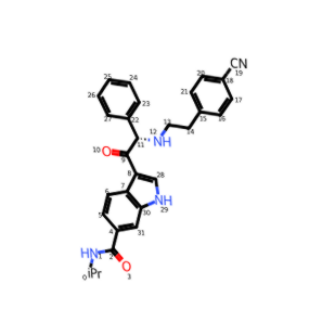 CC(C)NC(=O)c1ccc2c(C(=O)[C@@H](NCCc3ccc(C#N)cc3)c3ccccc3)c[nH]c2c1